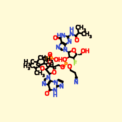 CC(C)C(=O)Nc1nc2c(ncn2[C@@H]2O[C@H](CO)[C@@H](F)[C@H]2OP(OCCC#N)OC[C@H]2O[C@@H](n3cnc4c(=O)[nH]c5nccn5c43)[C@H](O[Si](C(C)C)(C(C)C)C(C)C)[C@@H]2O[PH](=O)O)c(=O)[nH]1